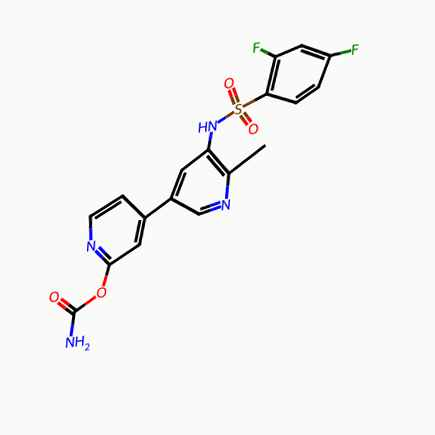 Cc1ncc(-c2ccnc(OC(N)=O)c2)cc1NS(=O)(=O)c1ccc(F)cc1F